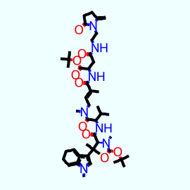 C=C1CCC(=O)N1CCNC(=O)CC(NC(=O)/C(C)=C/CN(C)C(=O)C(NC(=O)[C@@H](N(C)C(=O)OC(C)(C)C)C(C)(C)c1cn(C)c2c1=CCCC=2)C(C)C)C(=O)OC(C)(C)C